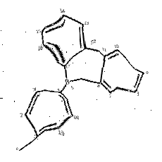 Cc1ccc(B2c3ccccc3-c3ccccc32)cc1